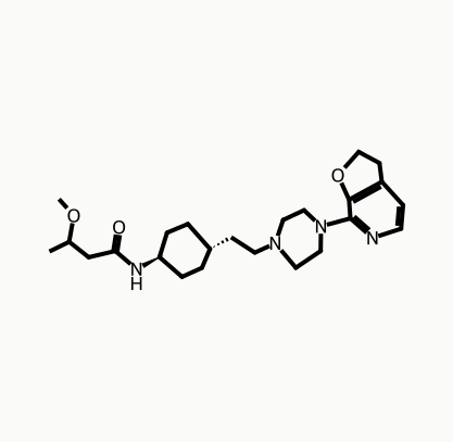 COC(C)CC(=O)N[C@H]1CC[C@H](CCN2CCN(c3nccc4c3OCC4)CC2)CC1